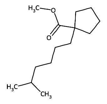 COC(=O)C1(CCCCC(C)C)CCCC1